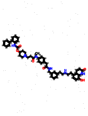 CN(C(=O)CCN1CCC(OC(=O)Nc2ccccc2-c2ccccc2)CC1)c1ccc(CC(=O)NCc2cccc(CCNCCc3ccc(O)c4[nH]c(=O)ccc34)c2)cc1